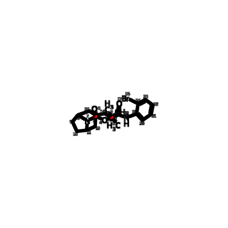 CC(C)(C)OC(=O)N1C2CCC1CC(COC(=O)Nc1ccccc1Br)C2